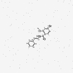 COc1cc(Br)ccc1C(=O)NC=Cc1ccccc1